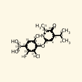 CC(C)c1cc(Oc2c(Cl)cc(B(O)O)c(F)c2Cl)nn(C)c1=O